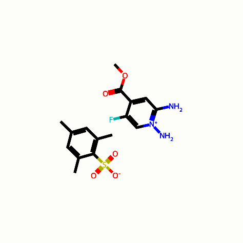 COC(=O)c1cc(N)[n+](N)cc1F.Cc1cc(C)c(S(=O)(=O)[O-])c(C)c1